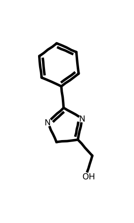 OCC1=NC(c2ccccc2)=NC1